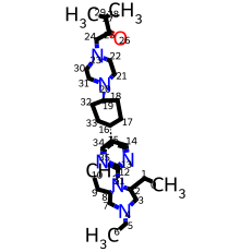 CCC1CN(CC)CC(CC)N1c1ncc([C@H]2CC[C@H](N3CCN(CC(=O)C(C)C)CC3)CC2)cn1